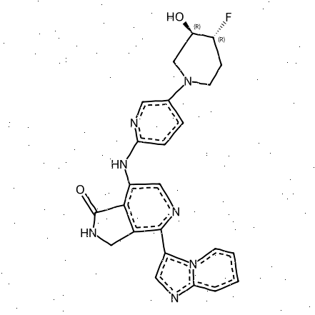 O=C1NCc2c(-c3cnc4ccccn34)ncc(Nc3ccc(N4CC[C@@H](F)[C@H](O)C4)cn3)c21